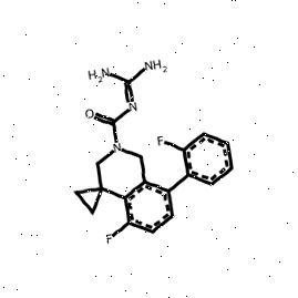 NC(N)=NC(=O)N1Cc2c(-c3ccccc3F)ccc(F)c2C2(CC2)C1